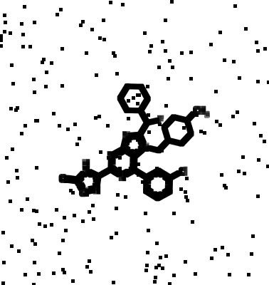 CC1CCC(Cn2c(C(F)C3CCCCC3)nc3nc(-c4noc(=O)[nH]4)nc(-c4cccc(Cl)c4)c32)CC1